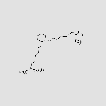 O=C(O)C(CCCCCCC1CC=CCC1CCCCCCC(C(=O)O)C(=O)O)C(=O)O